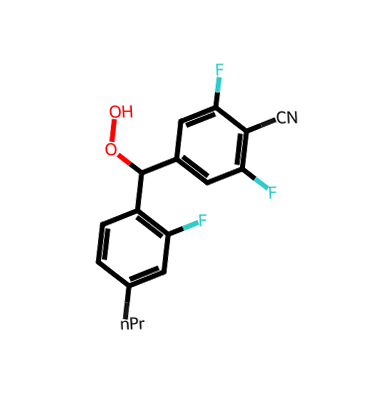 CCCc1ccc(C(OO)c2cc(F)c(C#N)c(F)c2)c(F)c1